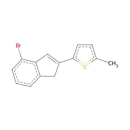 Cc1ccc(C2=Cc3c(Br)cccc3C2)s1